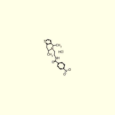 CC1Cc2sccc2C(C)N1CCNC(=O)c1ccc([N+](=O)[O-])cc1.Cl